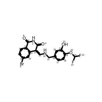 O=C1NC(=O)c2ccc(Br)cc2/C1=C/NCc1ccc(OC(F)F)c(O)c1